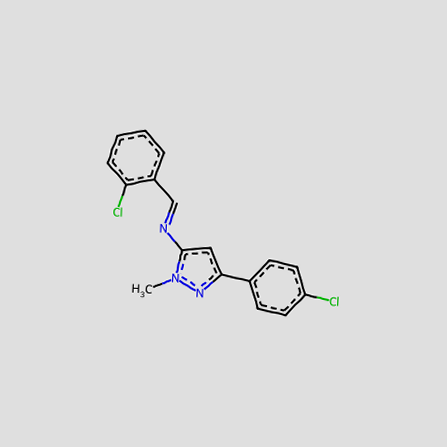 Cn1nc(-c2ccc(Cl)cc2)cc1N=Cc1ccccc1Cl